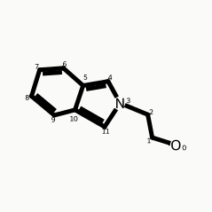 [O]CCn1cc2ccccc2c1